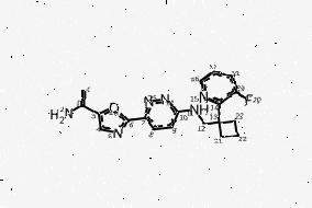 C=C(N)c1cnc(-c2ccc(NCC3(c4ncccc4F)CCC3)nn2)o1